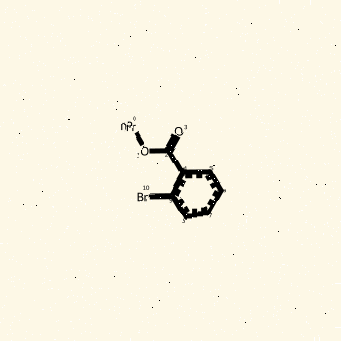 CCCOC(=O)c1ccccc1Br